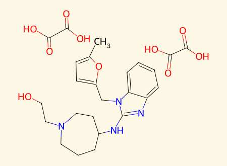 Cc1ccc(Cn2c(NC3CCCN(CCO)CC3)nc3ccccc32)o1.O=C(O)C(=O)O.O=C(O)C(=O)O